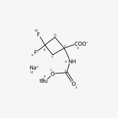 CC(C)(C)OC(=O)NC1(C(=O)[O-])CC(F)(F)C1.[Na+]